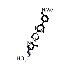 CNCc1cccc(-c2cnc(N3CCN(c4ncc(/C=C/C(=O)O)cc4C)CC3)nc2)c1